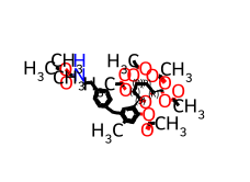 CC(=O)OC[C@H]1O[C@@H](c2cc(Cc3ccc(CCNC(=O)OC(C)(C)C)cc3)c(C)cc2OC(C)=O)[C@H](OC(C)=O)[C@@H](OC(C)=O)[C@@H]1OC(C)=O